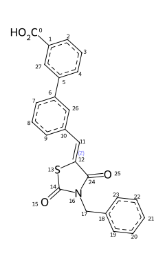 O=C(O)c1cccc(-c2cccc(/C=C3\SC(=O)N(Cc4ccccc4)C3=O)c2)c1